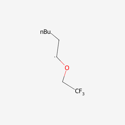 CCCCC[CH]OCC(F)(F)F